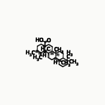 C[C@H]1[C@H](C)CC[C@]2(C(=O)O)CC[C@]3(C)C(=CC[C@@H]4[C@@]5(C)CCCC(C)(C)C5CC[C@]43C)[C@H]12